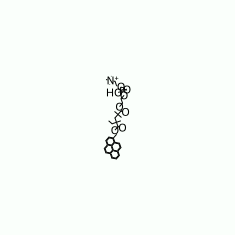 CCC(C)(CC(C)(C)C(=O)OCCOP(=O)(O)OCC[N+](C)(C)C)C(=O)OCc1ccc2ccc3cccc4ccc1c2c34